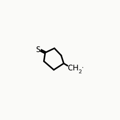 [CH2]C1CCC(=S)CC1